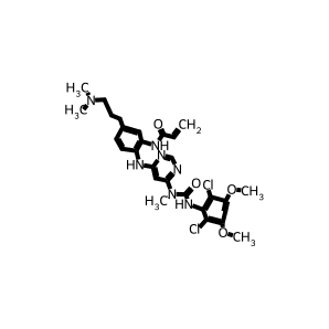 C=CC(=O)Nc1cc(CCCN(C)C)ccc1Nc1cc(N(C)C(=O)Nc2c(Cl)c(OC)cc(OC)c2Cl)ncn1